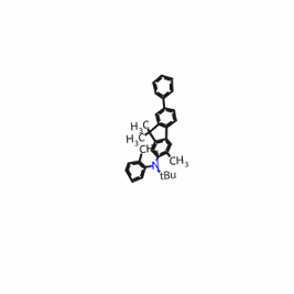 Cc1ccccc1N(c1cc2c(cc1C)-c1ccc(-c3ccccc3)cc1C2(C)C)C(C)(C)C